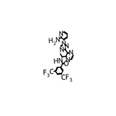 CC(NC(=O)c1cc(C(F)(F)F)cc(C(F)(F)F)c1)c1nccnc1-c1ncn(-c2cccnc2N)n1